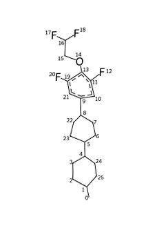 CC1CCC(C2CCC(c3cc(F)c(OCC(F)F)c(F)c3)CC2)CC1